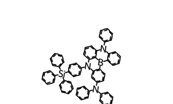 c1ccc(N(c2ccccc2)c2ccc3c(c2)N(c2ccc([Si](c4ccccc4)(c4ccccc4)c4ccccc4)cc2)c2cccc4c2B3c2ccccc2N4c2ccccc2)cc1